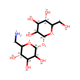 NCC1O[C@H](O[C@H]2OC(CO)[C@@H](O)C(O)C2O)C(O)C(O)[C@@H]1O